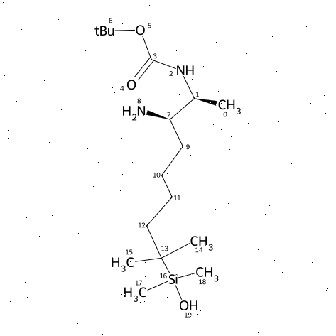 C[C@H](NC(=O)OC(C)(C)C)[C@H](N)CCCCC(C)(C)[Si](C)(C)O